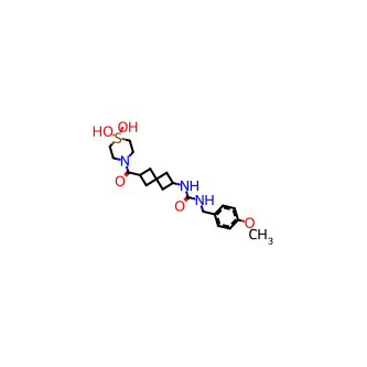 COc1ccc(CNC(=O)NC2CC3(C2)CC(C(=O)N2CCS(O)(O)CC2)C3)cc1